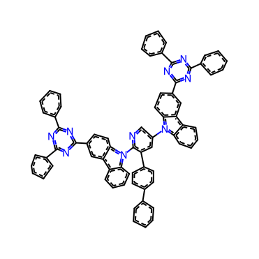 c1ccc(-c2ccc(-c3cc(-n4c5ccccc5c5cc(-c6nc(-c7ccccc7)nc(-c7ccccc7)n6)ccc54)cnc3-n3c4ccccc4c4cc(-c5nc(-c6ccccc6)nc(-c6ccccc6)n5)ccc43)cc2)cc1